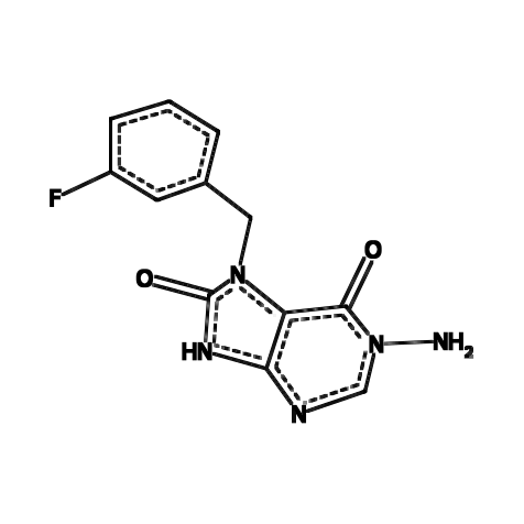 Nn1cnc2[nH]c(=O)n(Cc3cccc(F)c3)c2c1=O